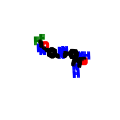 O=C1Nc2ccc(-c3cn(Cc4ccc(-c5nnc(C(F)F)o5)cc4)nn3)cc2C12CCNCC2